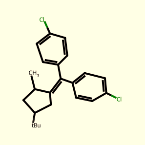 CC1CC(C(C)(C)C)CC1=C(c1ccc(Cl)cc1)c1ccc(Cl)cc1